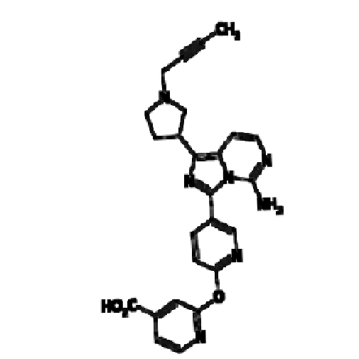 CC#CCN1CCC(c2nc(-c3ccc(Oc4cc(C(=O)O)ccn4)nc3)n3c(N)nccc23)C1